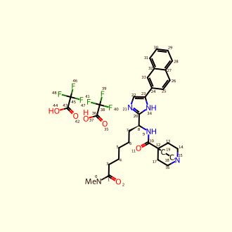 CNC(=O)CCCCC[C@H](NC(=O)C12CCN(CC1)CC2)c1ncc(-c2ccc3ccccc3c2)[nH]1.O=C(O)C(F)(F)F.O=C(O)C(F)(F)F